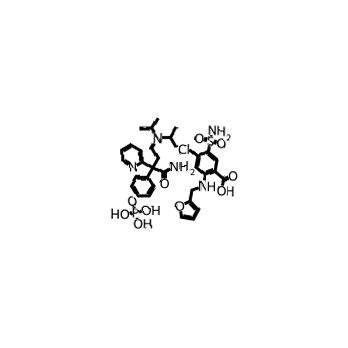 CC(C)N(CCC(C(N)=O)(c1ccccc1)c1ccccn1)C(C)C.NS(=O)(=O)c1cc(C(=O)O)c(NCc2ccco2)cc1Cl.O=P(O)(O)O